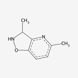 Cc1ccc2c(n1)C(C)NO2